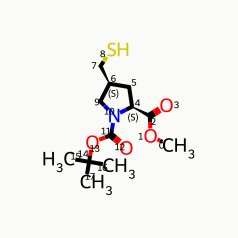 COC(=O)[C@@H]1C[C@H](CS)CN1C(=O)OC(C)(C)C